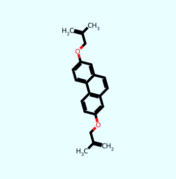 C=C(C)COc1ccc2c(ccc3cc(OCC(=C)C)ccc32)c1